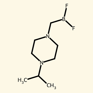 CC(C)N1CCN(CB(F)F)CC1